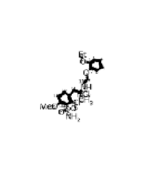 CCOc1ccccc1OCCN[C@H](C)Cc1ccc(OC)c(S(N)(=O)=O)c1Cl.Cl